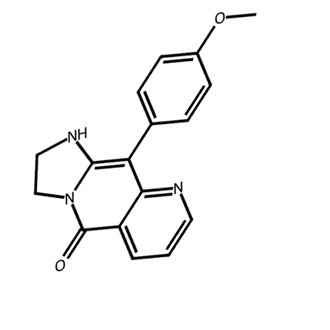 COc1ccc(-c2c3n(c(=O)c4cccnc24)CCN3)cc1